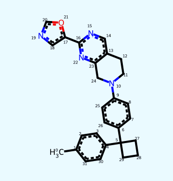 Cc1ccc(C2(c3ccc(N4CCc5cnc(-c6cnco6)nc5C4)cc3)CCC2)cc1